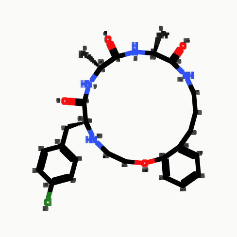 CCC[C@@H]1NC(=O)[C@@H](C(C)C)NC(=O)[C@@H](Cc2ccc(Cl)cc2)NCCOc2ccccc2CCCNC1=O